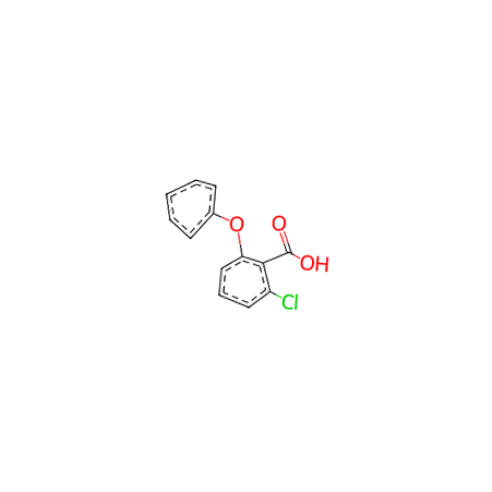 O=C(O)c1c(Cl)cccc1Oc1ccccc1